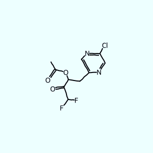 CC(=O)OC(Cc1cnc(Cl)cn1)C(=O)C(F)F